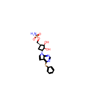 NS(=O)(=O)OC[C@@H]1C[C@@H](n2ccc3c(Sc4ccccc4)ncnc32)[C@H](O)[C@@H]1O